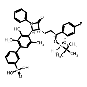 Cc1cc(-c2cccc(P(=O)(O)O)c2)c(C)c(O)c1[C@@H]1[C@@H](CC[C@H](O[Si](C)(C)C(C)(C)C)c2ccc(F)cc2)C(=O)N1c1ccccc1